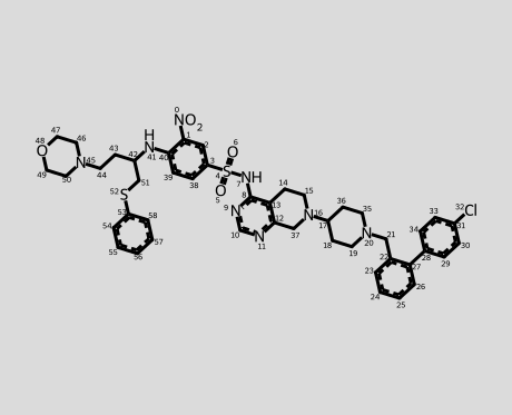 O=[N+]([O-])c1cc(S(=O)(=O)Nc2ncnc3c2CCN(C2CCN(Cc4ccccc4-c4ccc(Cl)cc4)CC2)C3)ccc1NC(CCN1CCOCC1)CSc1ccccc1